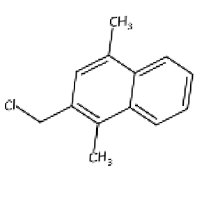 Cc1cc(CCl)c(C)c2ccccc12